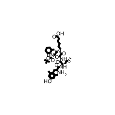 CSCC[C@@H](NC(=O)[C@@H](N)Cc1c(C)cc(O)cc1C)C(=O)NCC(=O)N(CCCCCC(=O)O)[C@@H](CC1CCCCC1)C(=O)NC(=O)OC(C)(C)C